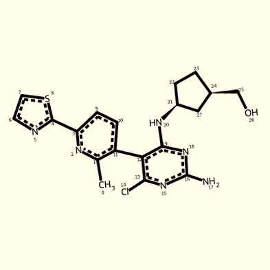 Cc1nc(-c2nccs2)ccc1-c1c(Cl)nc(N)nc1N[C@H]1CC[C@@H](CO)C1